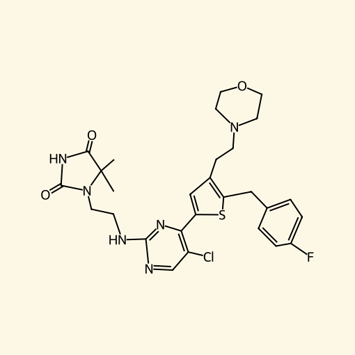 CC1(C)C(=O)NC(=O)N1CCNc1ncc(Cl)c(-c2cc(CCN3CCOCC3)c(Cc3ccc(F)cc3)s2)n1